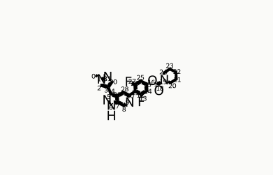 Cn1cc(-c2n[nH]c3cnc(-c4c(F)cc(OC(=O)N5CCCCC5)cc4F)cc23)cn1